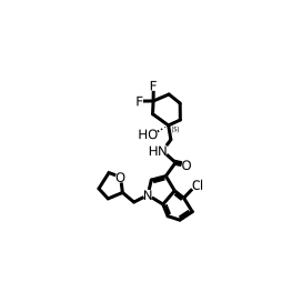 O=C(NC[C@]1(O)CCCC(F)(F)C1)c1cn(CC2CCCO2)c2cccc(Cl)c12